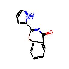 O=c1nc(-c2ccc[nH]2)sc2ccccc12